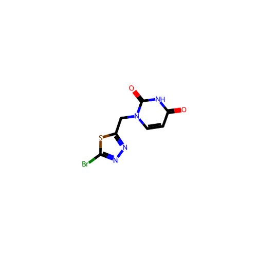 O=c1ccn(Cc2nnc(Br)s2)c(=O)[nH]1